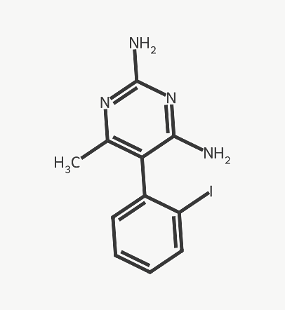 Cc1nc(N)nc(N)c1-c1ccccc1I